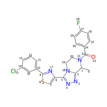 CC1c2nnc(-c3csc(-c4cccc(Cl)c4)n3)n2CCN1C(=O)c1ccc(F)cc1